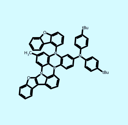 Cc1cc2c3c(c1)-n1c4oc5ccccc5c4c4cccc(c41)B3c1ccc(N(c3ccc(C(C)(C)C)cc3)c3ccc(C(C)(C)C)cc3)cc1N2c1cccc2oc3ccccc3c12